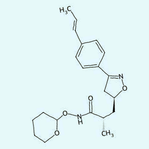 C/C=C/c1ccc(C2=NO[C@@H](C[C@H](C)C(=O)NOC3CCCCO3)C2)cc1